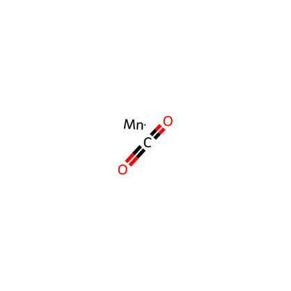 O=C=O.[Mn]